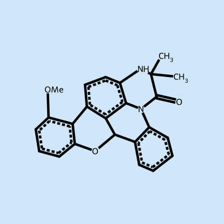 COc1cccc2c1-c1ccc3c4c1C(O2)c1ccccc1N4C(=O)C(C)(C)N3